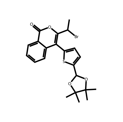 CC(Br)c1oc(=O)c2ccccc2c1-c1ccc(C2OC(C)(C)C(C)(C)O2)s1